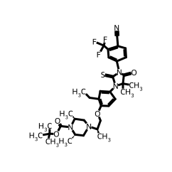 CCc1cc(N2C(=S)N(c3ccc(C#N)c(C(F)(F)F)c3)C(=O)C2(C)C)ccc1OC[C@@H](C)N1C[C@@H](C)N(C(=O)OC(C)(C)C)[C@@H](C)C1